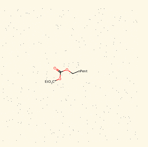 CCCCCCOC(=O)OC(=O)OCC